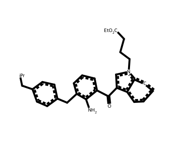 CCOC(=O)CCCn1cc(C(=O)c2cccc(Cc3ccc(CC(C)C)cc3)c2N)c2ccccc21